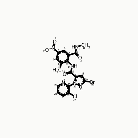 CNC(=O)c1cc([N+](=O)[O-])cc(C)c1NC(=O)c1cc(Br)nn1-c1ncccc1Cl